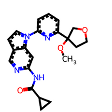 COC1(c2cccc(-n3ccc4cnc(NC(=O)C5CC5)cc43)n2)CCOC1